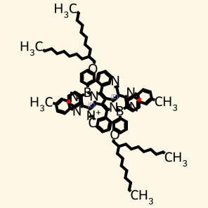 [C-]#[N+]/C(c1cnc2cc(C)ccc2n1)=c1\c2c(-c3cccc(OCC(CCCCCCCC)CCCCCCCC)c3)n(B(c3ccccc3)c3ccccc3)/c(=C(/C#N)c3cnc4cc(C)ccc4n3)c2c(-c2cccc(OCC(CCCCCCCC)CCCCCCCC)c2)n1B(c1ccccc1)c1ccccc1